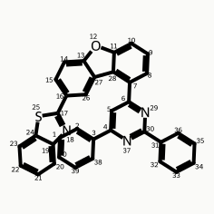 c1ccc(-c2cc(-c3cccc4oc5ccc(-c6nc7ccccc7s6)cc5c34)nc(-c3ccccc3)n2)cc1